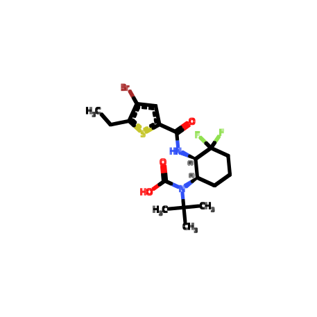 CCc1sc(C(=O)N[C@@H]2[C@H](N(C(=O)O)C(C)(C)C)CCCC2(F)F)cc1Br